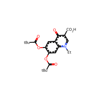 CCn1cc(C(=O)O)c(=O)c2cc(OC(=O)C(C)(C)C)c(OC(=O)C(C)(C)C)cc21